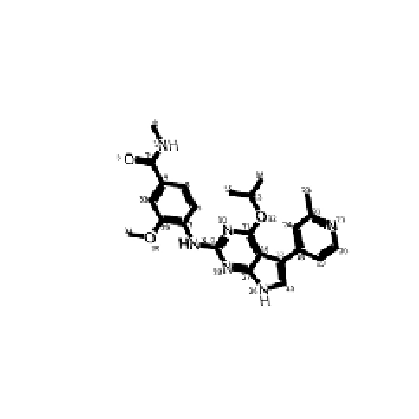 CNC(=O)c1ccc(Nc2nc(OC(C)C)c3c(-c4ccnc(C)c4)c[nH]c3n2)c(OC)c1